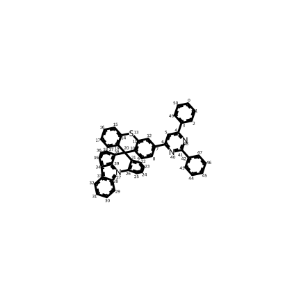 c1ccc(-c2cc(-c3ccc4c(c3)Sc3ccccc3C43c4ccccc4-n4c5ccccc5c5cccc3c54)nc(-c3ccccc3)n2)cc1